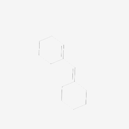 C1=C(C=C2CCCCC2)CCCC1